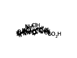 Cl.Nc1nc(N2CCCC(CN3CCN(c4ncc(C(=O)O)o4)CC3)C2)nc2nc(-c3ccco3)nn12